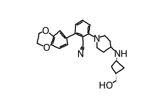 N#Cc1c(-c2ccc3c(c2)OCCO3)cccc1N1CCC(N[C@H]2C[C@@H](CO)C2)CC1